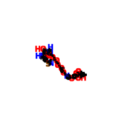 Cc1cc(C)c(C2=C(O)C3(CCC(OC4CCN(CCOCCOCCOCCOCCOCC(=O)N[C@H](C(=O)N5C[C@H](O)C[C@H]5C(=O)N[C@@H](C)c5ccc(-c6scnc6C)cc5)C(C)(C)C)CC4)CC3)OC2=O)c(C)c1